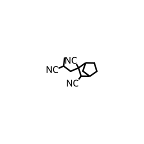 CC(C#N)CC1(C#N)C2CCC(C2)C1C#N